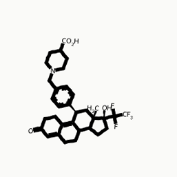 C[C@]12C[C@H](c3ccc(CN4CCC(C(=O)O)CC4)cc3)C3=C4CCC(=O)C=C4CCC3C1CC[C@@]2(O)C(F)(F)C(F)(F)F